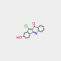 O=C1C2=C(Cl)c3cc(O)ccc3C2=Nc2ccccc21